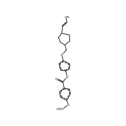 CCC/C=C/C1CCC(COc2ccc(OC(=O)c3ccc(OCCCCCCCC)cc3)cc2)CC1